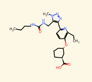 CCCCNC(=O)NCc1c(-c2ccc(O[C@H]3CCC[C@H](C(=O)O)C3)c(CC)n2)nnn1C